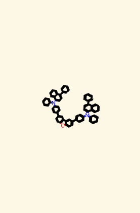 c1ccc(-c2ccc(N(c3ccccc3)c3ccc(-c4ccc5oc6ccc(-c7ccc(N(c8ccccc8)c8ccc(-c9ccccc9)c9ccccc89)cc7)cc6c5c4)cc3)c3ccccc23)cc1